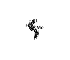 CCN1CC[C@@H](Nc2nc(OC)c3c(-c4ccc5nnn(CC(F)F)c5c4)ccn3n2)C(F)(F)C1